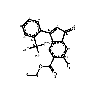 CCOC(=O)c1cc2c(cc1F)C(=O)C=C2c1ccccc1C(F)(F)F